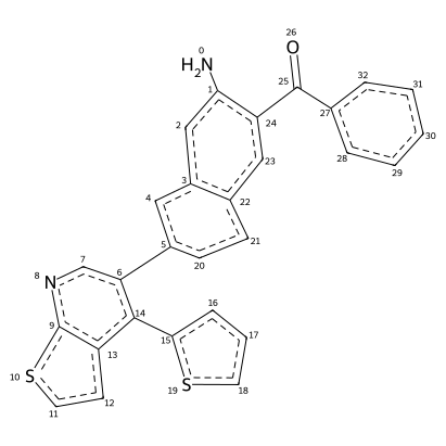 Nc1cc2cc(-c3cnc4sccc4c3-c3cccs3)ccc2cc1C(=O)c1ccccc1